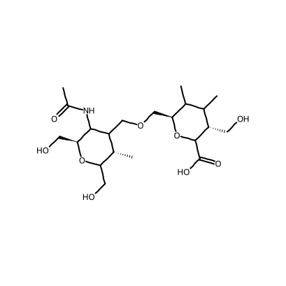 CC(=O)NC1C(COC[C@@H]2OC(C(=O)O)[C@@H](CO)C(C)C2C)[C@H](C)C(CO)O[C@H]1CO